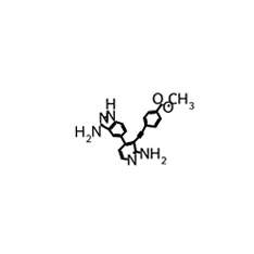 COC(=O)c1ccc(C#Cc2c(-c3ccc4[nH]nc(N)c4c3)ccnc2N)cc1